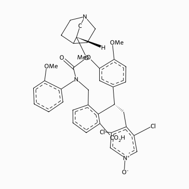 COc1ccc([C@H](Cc2c(Cl)c[n+]([O-])cc2Cl)c2c(CN(C(=O)O[C@H]3CN4CCC3CC4)c3ccccc3OC)cccc2C(=O)O)cc1OC